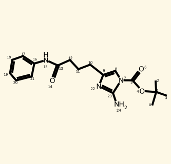 CC(C)(C)OC(=O)n1cc(CCCC(=O)Nc2ccccc2)nc1N